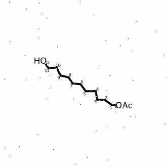 CC(=O)OCCCCCCCCCCCO